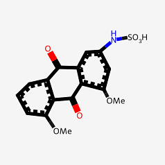 COc1cccc2c1C(=O)c1c(OC)cc(NS(=O)(=O)O)cc1C2=O